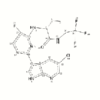 CC[C@@H](Nc1nc(-c2c[nH]c3ncc(Cl)cc23)ncc1F)C(=O)NCC(F)(F)F